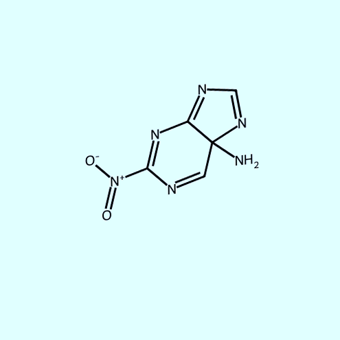 NC12C=NC([N+](=O)[O-])=NC1=NC=N2